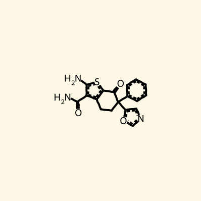 NC(=O)c1c(N)sc2c1CCC(c1ccccc1)(c1cnco1)C2=O